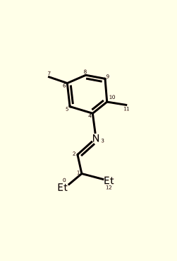 CCC(C=Nc1cc(C)ccc1C)CC